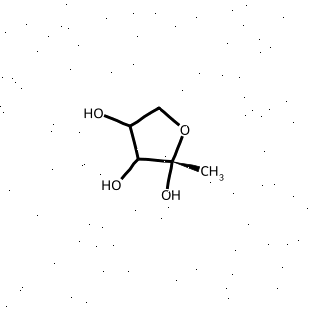 C[C@]1(O)OCC(O)C1O